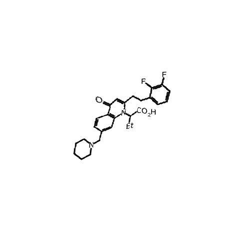 CCC(C(=O)O)n1c(CCc2cccc(F)c2F)cc(=O)c2ccc(CN3CCCCC3)cc21